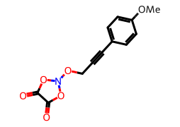 COc1ccc(C#CCOn2oc(=O)c(=O)o2)cc1